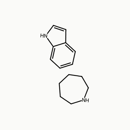 C1CCCNCC1.c1ccc2[nH]ccc2c1